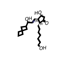 O=C1C[C@@H](O)[C@H](/C=C/[C@H](O)C2CC3(CCC3)C2)[C@H]1CCCCCCCO